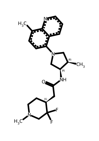 Cc1ccc(N2C[C@@H](C)[C@@H](NC(=O)C[C@@H]3CCN(C)CC3(F)F)C2)c2cccnc12